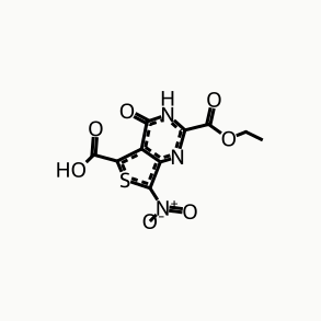 CCOC(=O)c1nc2c([N+](=O)[O-])sc(C(=O)O)c2c(=O)[nH]1